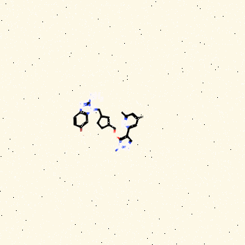 Cc1cc(C(=O)O)cc(-c2cnn(C)c2OCC2CCC(Cn3c(N)nc4ccc(Br)cc43)C2)n1